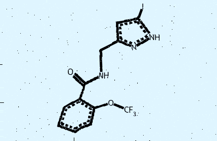 O=C(NCc1cc(I)[nH]n1)c1ccccc1OC(F)(F)F